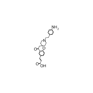 Nc1ccc(CCN2CCC3(CC2)CC(=O)c2cc(/C=C/C(=O)O)ccc2O3)cc1